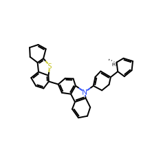 C[C@@H]1C=CC=CC1C1=CC=C(n2c3c(c4cc(-c5cccc6c7c(sc56)C=CCC7)ccc42)C=CCC3)CC1